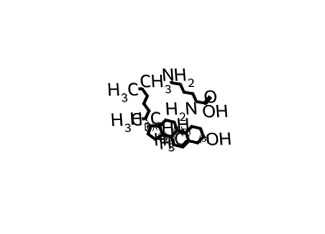 CC(C)CCCC(C)[C@H]1CC[C@H]2[C@@H]3CC=C4C[C@@H](O)CC[C@]4(C)[C@H]3CC[C@]12C.NCCCCC(N)C(=O)O